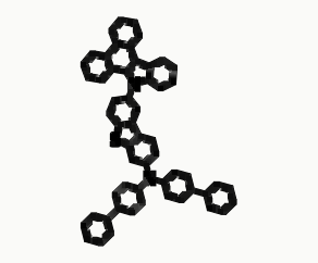 c1ccc(-c2ccc(N(c3ccc(-c4ccccc4)cc3)c3ccc4c(c3)sc3ccc(-n5c6ccccc6c6c7ccccc7c7ccccc7c65)cc34)cc2)cc1